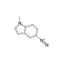 Cn1ccc2cc([N+]#N)ccc21